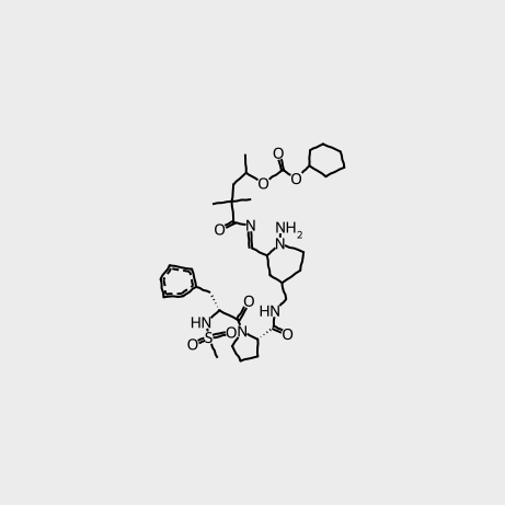 CC(CC(C)(C)C(=O)N=CC1CC(CNC(=O)[C@@H]2CCCN2C(=O)[C@@H](Cc2ccccc2)NS(C)(=O)=O)CCN1N)OC(=O)OC1CCCCC1